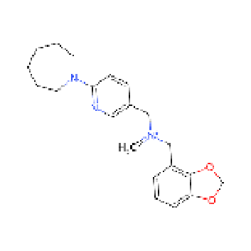 C=[N+](Cc1ccc(N2CCCCCC2)nc1)Cc1cccc2c1OCO2